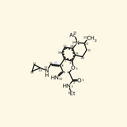 CCNC(=O)COc1c(/C(C=N)=C/NC2CC2)ccc2c1CCC(C)N2C(C)=O